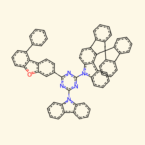 c1ccc(-c2cccc3oc4cc(-c5nc(-n6c7ccccc7c7ccccc76)nc(-n6c7ccccc7c7c8c(ccc76)-c6ccccc6C86c7ccccc7-c7ccccc76)n5)ccc4c23)cc1